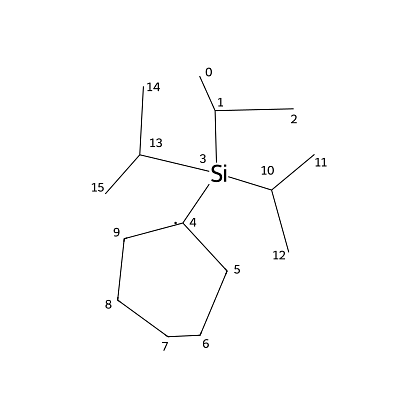 CC(C)[Si]([C]1CCCCC1)(C(C)C)C(C)C